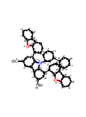 CC(C)(C)c1cc(-c2cccc3c2oc2ccccc23)c2c(c1)c1cc(C(C)(C)C)cc(-c3cccc4c3oc3ccccc34)c1n2-c1cccc(-c2ccccc2)c1